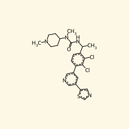 CC(NC(=O)N(C)C1CCN(C)CC1)c1ccc(-c2cncc(-c3cncs3)c2)c(Cl)c1Cl